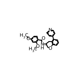 COc1ccc(C(=O)N[C@@H]2COc3cccc(-c4ccncc4)c3C2)c(OC)c1